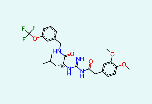 COc1ccc(CC(=O)NC(=N)N[C@H](CC(C)C)C(=O)NCc2cccc(OC(F)(F)F)c2)cc1OC